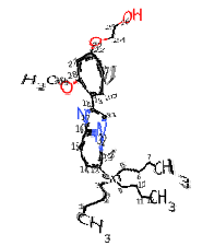 CCC[CH2][Sn]([CH2]CCC)([CH2]CCC)[c]1ccc2nc(-c3ccc(OCCO)cc3OC)cn2c1